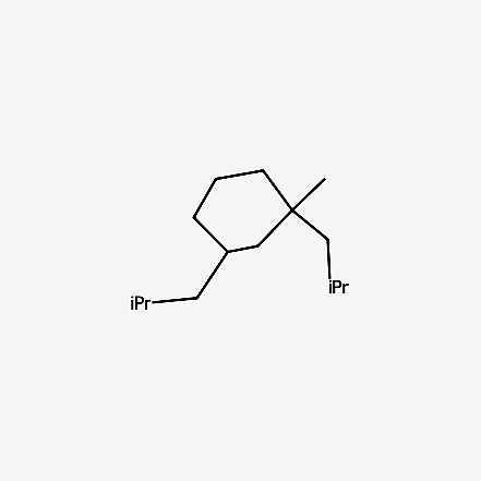 CC(C)CC1CCCC(C)(CC(C)C)C1